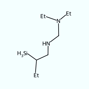 CCC([SiH3])CNCN(CC)CC